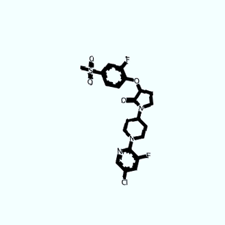 CS(=O)(=O)c1ccc(OC2CCN(C3CCN(c4ncc(Cl)cc4F)CC3)C2=O)c(F)c1